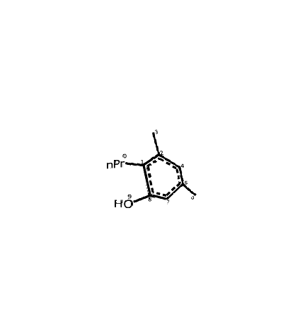 CCCc1c(C)cc(C)cc1O